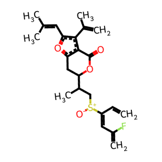 C=C/C(=C\C(=C)F)[S+]([O-])CC(C)C1Cc2oc(C=C(C)C)c(C(=C)C)c2C(=O)O1